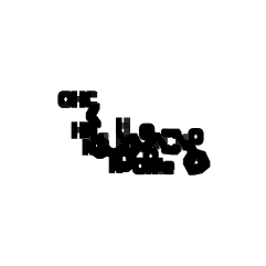 COc1cnc(-c2cnc(NCCCC=O)s2)c2[nH]cc(C(=O)C(=O)N3CCN(C(=O)c4ccccc4)CC3)c12